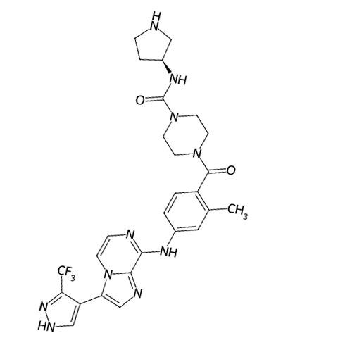 Cc1cc(Nc2nccn3c(-c4c[nH]nc4C(F)(F)F)cnc23)ccc1C(=O)N1CCN(C(=O)N[C@H]2CCNC2)CC1